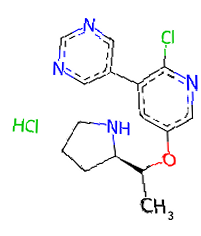 CC(Oc1cnc(Cl)c(-c2cncnc2)c1)[C@H]1CCCN1.Cl